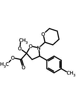 COC(=O)C1(OC)CC(c2ccc(C)cc2)N(C2CCCCO2)O1